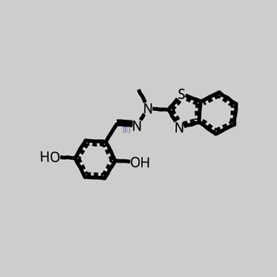 CN(/N=C/c1cc(O)ccc1O)c1nc2ccccc2s1